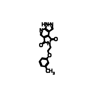 Cc1cccc(OCCN2C(=O)c3cnc4[nH]ncc4c3C2=O)c1